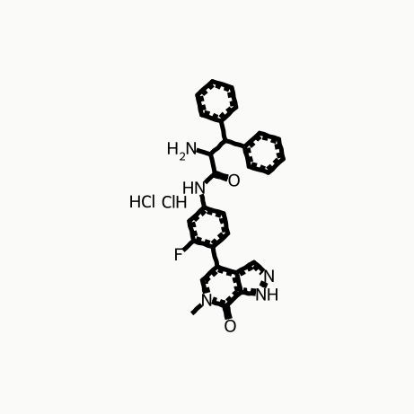 Cl.Cl.Cn1cc(-c2ccc(NC(=O)C(N)C(c3ccccc3)c3ccccc3)cc2F)c2cn[nH]c2c1=O